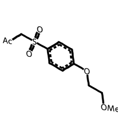 COCCOc1ccc(S(=O)(=O)CC(C)=O)cc1